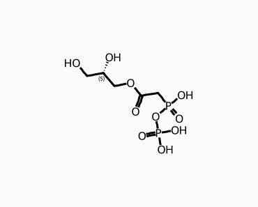 O=C(CP(=O)(O)OP(=O)(O)O)OC[C@@H](O)CO